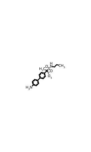 CCCNS(=O)(=O)C(C)(C)c1ccc(-c2ccc(N)cc2)cc1